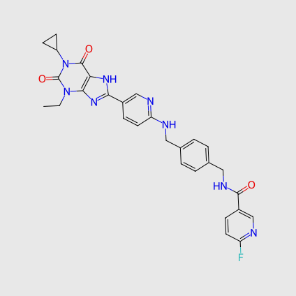 CCn1c(=O)n(C2CC2)c(=O)c2[nH]c(-c3ccc(NCc4ccc(CNC(=O)c5ccc(F)nc5)cc4)nc3)nc21